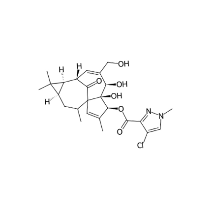 CC1=CC23C(=O)[C@@H](C=C(CO)[C@@H](O)[C@]2(O)[C@H]1OC(=O)c1nn(C)cc1Cl)[C@H]1[C@@H](CC3C)C1(C)C